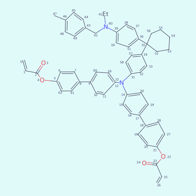 C=CC(=O)Oc1ccc(-c2ccc(N(c3ccc(-c4ccc(OC(=O)C=C)cc4)cc3)c3ccc(C4(c5ccc(N(CC)Cc6ccc(C)cc6)cc5)CCCCC4)cc3)cc2)cc1